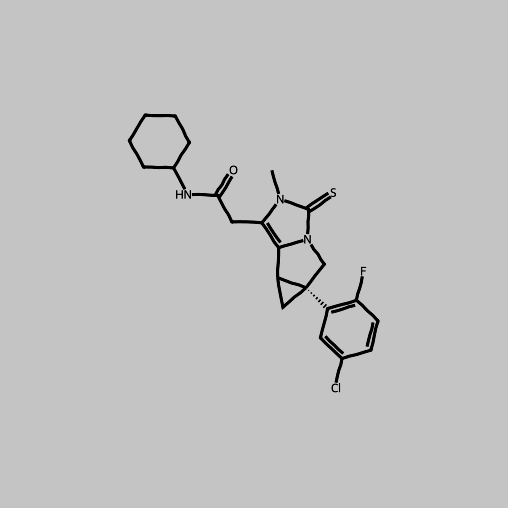 Cn1c(CC(=O)NC2CCCCC2)c2n(c1=S)C[C@@]1(c3cc(Cl)ccc3F)CC21